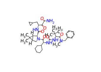 CN(Cc1ccccc1)C(=O)[C@@H](NC(=O)N[C@H](C(=O)N1C[C@H]2[C@@H]([C@H]1C(=O)NC(CC1CC1)C(=O)C(N)=O)C2(C)C)C1CCCCC1)C(C)(C)C